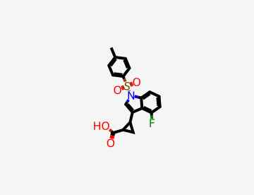 Cc1ccc(S(=O)(=O)n2cc(C3CC3C(=O)O)c3c(F)cccc32)cc1